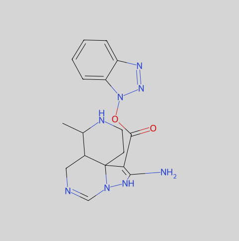 CC1NCCC23C(C(=O)On4nnc5ccccc54)=C(N)NN2C=NCC13